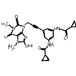 Cn1c(=O)c2c(nc(S)n2C)n(CC#Cc2cc(NC(=O)C3CC3)cc(NC(=O)C3CC3)c2)c1=O